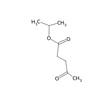 CC(=O)CCC(=O)OC(C)C